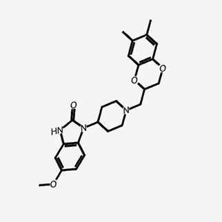 COc1ccc2c(c1)[nH]c(=O)n2C1CCN(CC2COc3cc(C)c(C)cc3O2)CC1